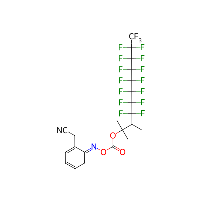 CC(C(C)(C)OC(=O)ON=C1CC=CC=C1CC#N)C(F)(F)C(F)(F)C(F)(F)C(F)(F)C(F)(F)C(F)(F)C(F)(F)C(F)(F)F